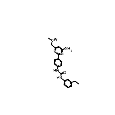 CCc1cccc(NC(=O)Nc2ccc(-c3nc(N)cc(C[S+](C)[O-])n3)cc2)c1